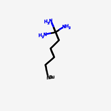 CCCCCCCCC(N)(N)N